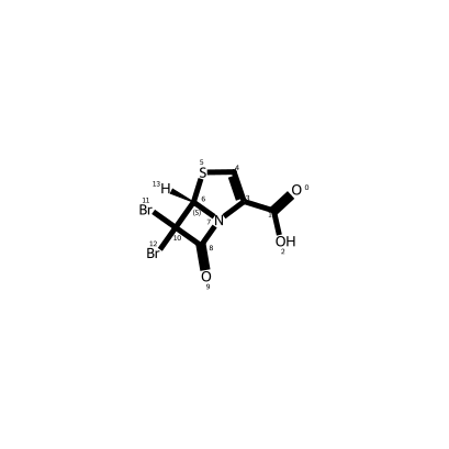 O=C(O)C1=CS[C@@H]2N1C(=O)C2(Br)Br